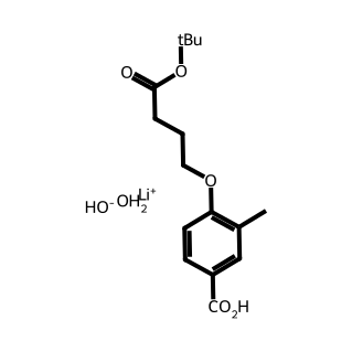 Cc1cc(C(=O)O)ccc1OCCCC(=O)OC(C)(C)C.O.[Li+].[OH-]